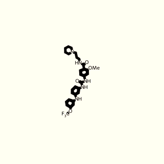 COc1cc(NC(=O)Nc2cccc(Nc3cccc(OC(F)(F)F)c3)c2)ccc1C(=O)NCCCN1CCCCC1